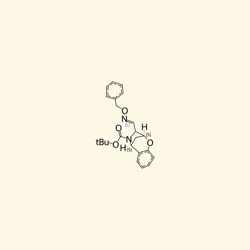 CC(C)(C)OC(=O)N1C(/C=N/OCc2ccccc2)[C@@H]2C[C@H]1c1ccccc1O2